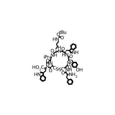 CC(C)[C@@H]1NC(=O)[C@H](CCCCNC(=O)OC(C)(C)C)NC(=O)[C@@H](Cc2c[nH]c3ccccc23)NC(=O)[C@H](Cc2ccc(O)cc2)NC(=O)[C@@H](NC(=O)[C@H](N)Cc2ccccc2)CSSC[C@@H](C(=O)N[C@@H](Cc2c[nH]c3ccccc23)C(=O)O)NC1=O